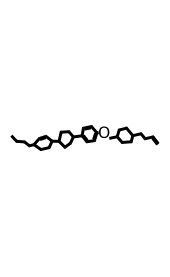 C=CCCC1CCC(COc2ccc(C3CCC(C4C=CC(CCCC)CC4)CC3)cc2)CC1